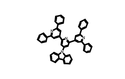 c1ccc(-c2cc(-c3cc(-n4c5ccccc5c5ccccc54)cc(-c4cc(-c5ccccc5)nc(-c5ccccc5)c4)n3)cc(-c3ccccc3)n2)cc1